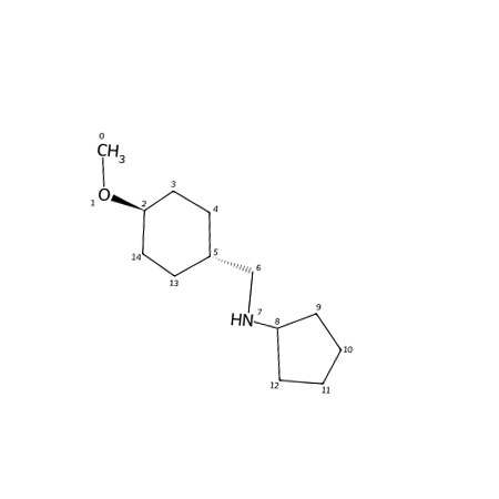 CO[C@H]1CC[C@H](CNC2CCCC2)CC1